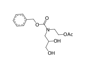 CC(=O)OCCN(CC(O)CO)C(=O)OCc1ccccc1